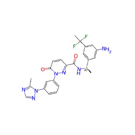 Cc1ncnn1-c1cccc(-n2nc(C(=O)N[C@H](C)c3cc(N)cc(C(C)(F)F)c3)ccc2=O)c1